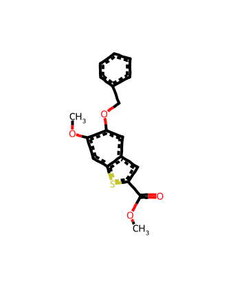 COC(=O)c1cc2cc(OCc3ccccc3)c(OC)cc2s1